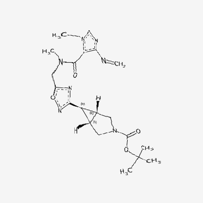 C=Nc1ncn(C)c1C(=O)N(C)Cc1nc([C@H]2[C@@H]3CN(C(=O)OC(C)(C)C)C[C@@H]32)no1